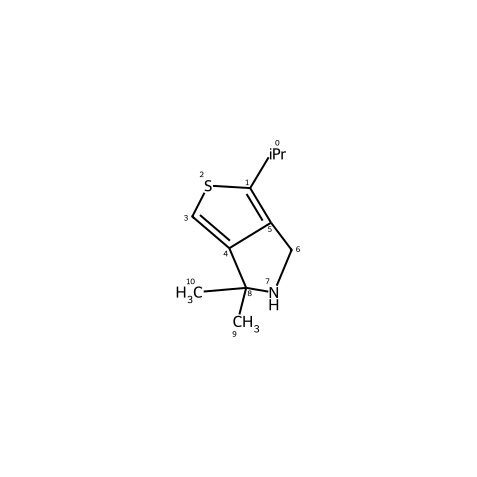 CC(C)c1scc2c1CNC2(C)C